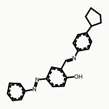 Oc1ccc(/N=N/c2ccccc2)cc1/C=N/c1ccc(C2CCCC2)cc1